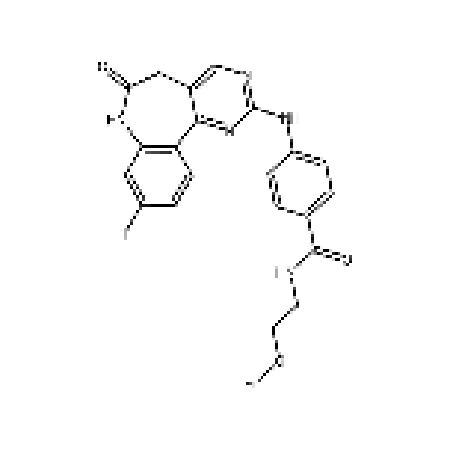 CCOCCNC(=O)c1ccc(Nc2ncc3c(n2)-c2ccc(I)cc2NC(=O)C3)cc1